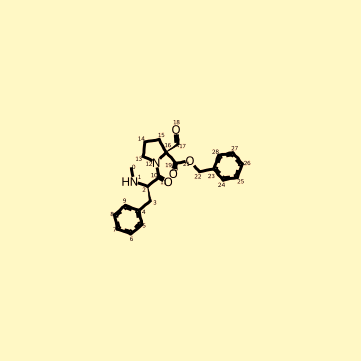 CN[C@H](Cc1ccccc1)C(=O)N1CCC[C@]1([C]=O)C(=O)OCc1ccccc1